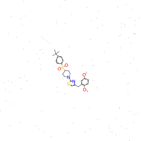 COc1ccc(OC)c(Cc2csc(N3CCC(S(=O)(=O)c4ccc(C(C)(C)C)cc4)CC3)n2)c1